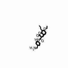 CCCc1c(OCC)ccc2cc(C(=O)Nc3ccc(CN)cc3)c(=O)oc12